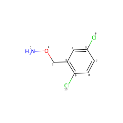 NOCc1cc(Cl)ccc1Cl